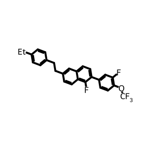 CCc1ccc(CCc2ccc3c(F)c(-c4ccc(OC(F)(F)F)c(F)c4)ccc3c2)cc1